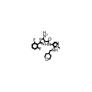 Cn1ncc(NC(=O)C2N=C(c3c(F)cccc3F)SC2N)c1NCC1CCOCC1